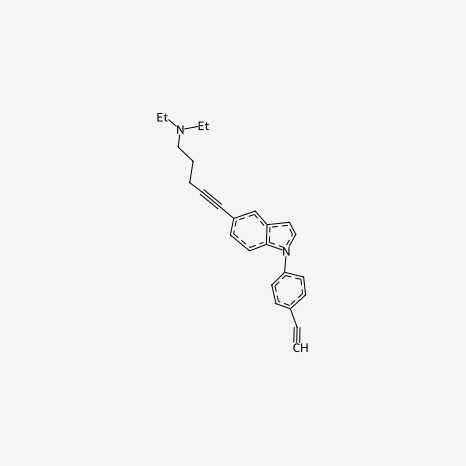 C#Cc1ccc(-n2ccc3cc(C#CCCCN(CC)CC)ccc32)cc1